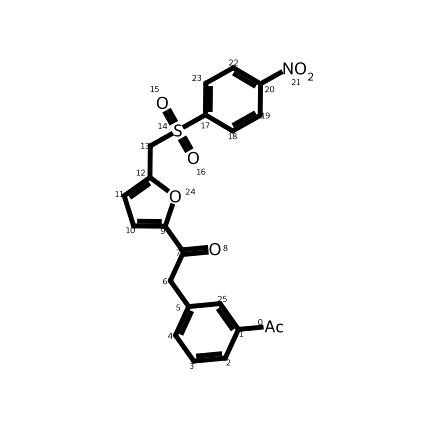 CC(=O)c1cccc(CC(=O)c2ccc(CS(=O)(=O)c3ccc([N+](=O)[O-])cc3)o2)c1